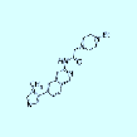 CCN1CCN(CC(=O)Nc2cc3cc(-c4cncn4C)ccc3cn2)CC1